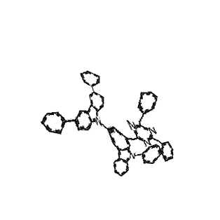 c1ccc(-c2ccc3c(c2)c2cc(-c4ccccc4)ccc2n3-c2cc(-c3nc(-c4ccccc4)nc(-c4ccccc4)n3)c3c(c2)c2ccccc2n3-c2ccccc2)cc1